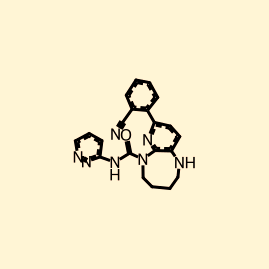 N#Cc1ccccc1-c1ccc2c(n1)N(C(=O)Nc1cccnn1)CCCCN2